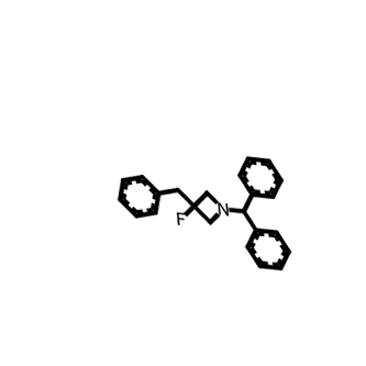 FC1(Cc2ccccc2)CN(C(c2ccccc2)c2ccccc2)C1